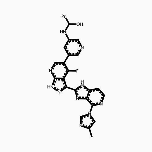 Cc1cn(-c2nccc3[nH]c(-c4n[nH]c5ncc(-c6cncc(NC(O)C(C)C)c6)c(F)c45)nc23)cn1